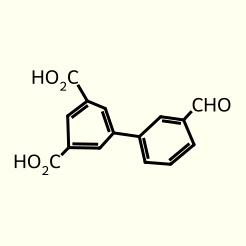 O=Cc1cccc(-c2cc(C(=O)O)cc(C(=O)O)c2)c1